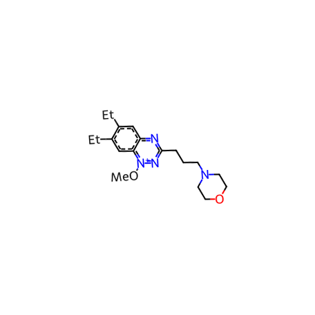 CCc1cc2nc(CCCN3CCOCC3)n[n+](OC)c2cc1CC